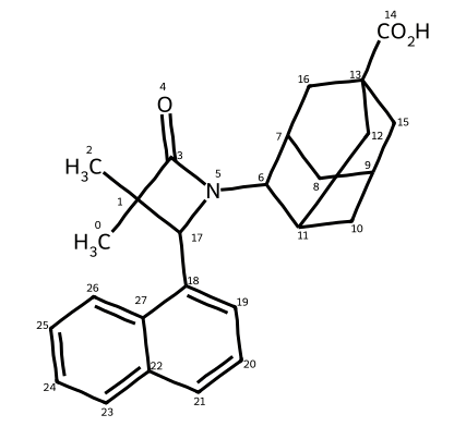 CC1(C)C(=O)N(C2C3CC4CC2CC(C(=O)O)(C4)C3)C1c1cccc2ccccc12